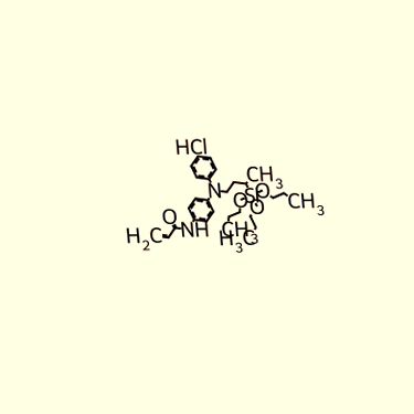 C=CC(=O)Nc1ccc(N(CCC(C)[Si](OCCC)(OCCC)OCCC)c2ccccc2)cc1.Cl